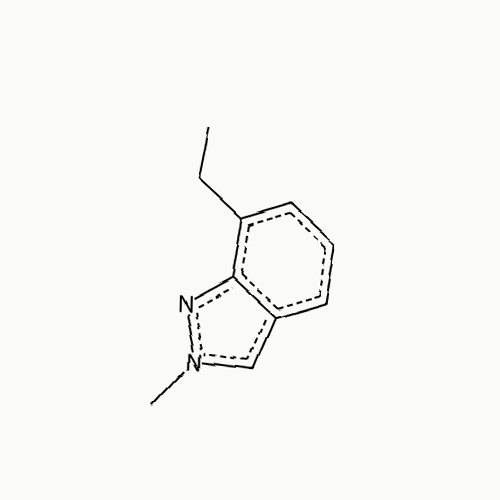 CCc1cccc2cn(C)nc12